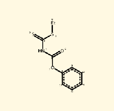 CCSC(=S)NC(=O)Oc1ccccc1